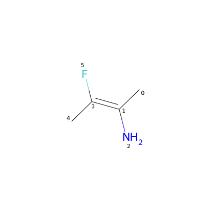 CC(N)=C(C)F